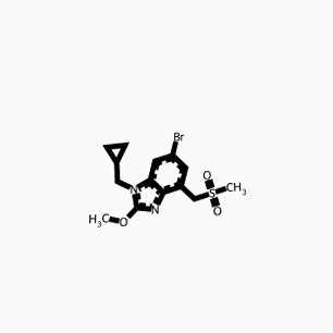 COc1nc2c(CS(C)(=O)=O)cc(Br)cc2n1CC1CC1